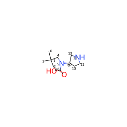 CC(C)(C)CN(C(=O)O)[C@@H]1CCNC1